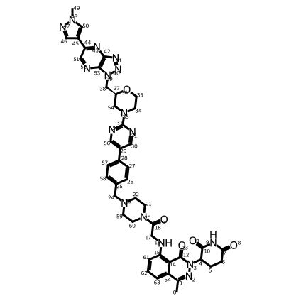 Cc1nn(C2CCC(=O)NC2=O)c(=O)c2c(NCC(=O)N3CCN(Cc4ccc(-c5cnc(N6CCO[C@H](Cn7nnc8nc(-c9cnn(C)c9)cnc87)C6)nc5)cc4)CC3)cccc12